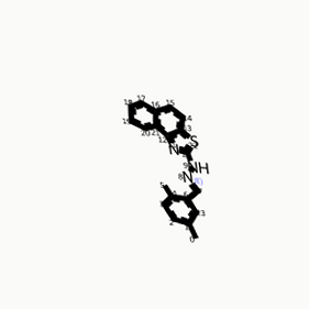 Cc1ccc(C)c(/C=N/Nc2nc3c(ccc4ccccc43)s2)c1